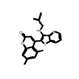 Cc1cc(C)c2c(-c3oc4cccnc4c3NCC(C)C)cc(=O)oc2c1